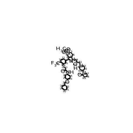 CS(=O)(=O)N1CCc2c(c(-c3ccc(C(F)(F)F)c(SCC(=O)Nc4ccc(OCc5ccccc5)cc4)c3)nn2CC(O)CN2CCC(N3CCCC3=O)CC2)C1